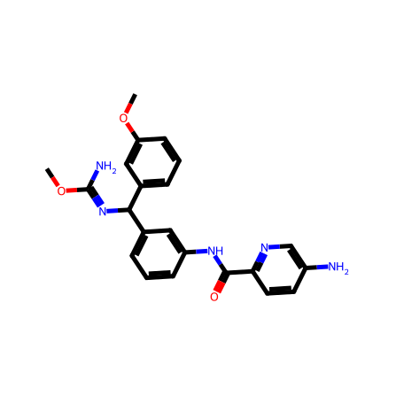 CO/C(N)=N/C(c1cccc(NC(=O)c2ccc(N)cn2)c1)c1cccc(OC)c1